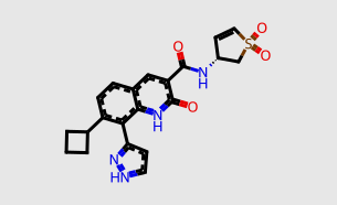 O=C(N[C@@H]1C=CS(=O)(=O)C1)c1cc2ccc(C3CCC3)c(-c3cc[nH]n3)c2[nH]c1=O